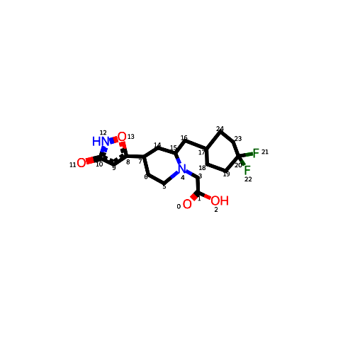 O=C(O)CN1CCC(c2cc(=O)[nH]o2)CC1CC1CCC(F)(F)CC1